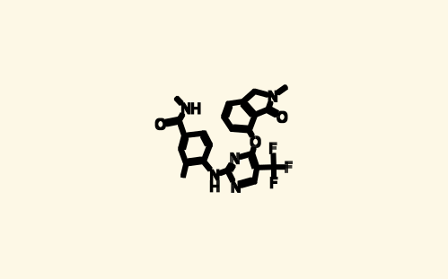 CNC(=O)c1ccc(Nc2ncc(C(F)(F)F)c(Oc3cccc4c3C(=O)N(C)C4)n2)c(C)c1